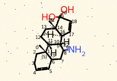 C[C@]12CCC=CC1CC(N)[C@@H]1[C@H]2CC[C@@]2(C)[C@H]1C=CC2(O)O